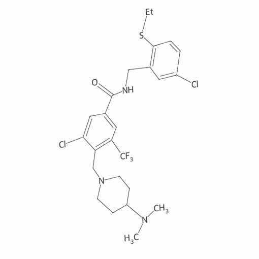 CCSc1ccc(Cl)cc1CNC(=O)c1cc(Cl)c(CN2CCC(N(C)C)CC2)c(C(F)(F)F)c1